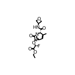 CCOC(=O)[C@H](F)ON1C(=O)N2CC1C=C(C)[C@H]2C(=O)NC1COC1